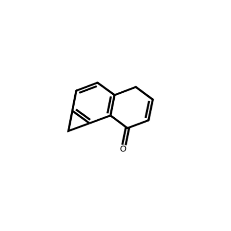 O=C1C=CCc2ccc3c(c21)C3